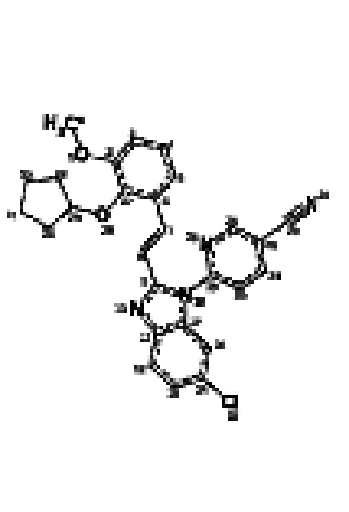 COc1cccc(C=Cc2nc3ccc(Cl)cc3n2-c2ccc(C#N)cn2)c1OC1CCCC1